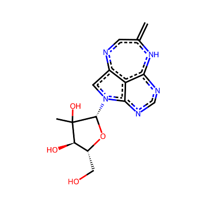 C=c1cnc2cn([C@@H]3O[C@H](CO)[C@@H](O)C3(C)O)c3ncnc([nH]1)c23